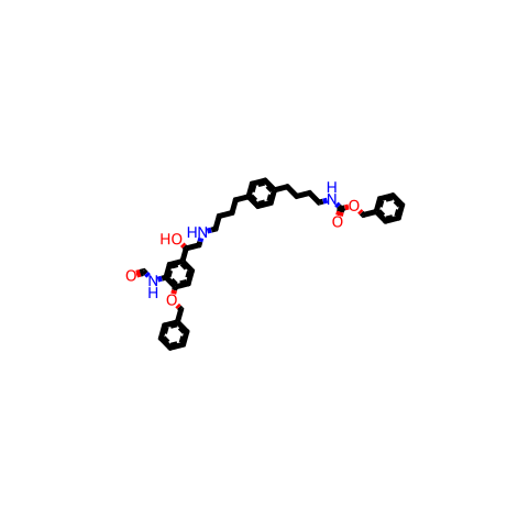 O=CNc1cc(C(O)CNCCCCc2ccc(CCCCNC(=O)OCc3ccccc3)cc2)ccc1OCc1ccccc1